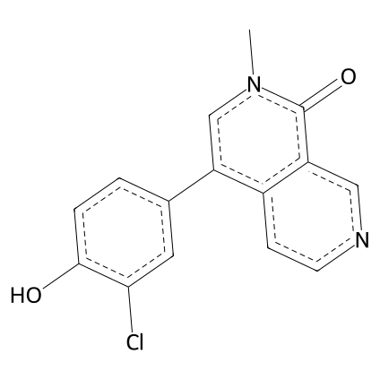 Cn1cc(-c2ccc(O)c(Cl)c2)c2ccncc2c1=O